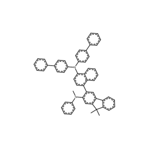 CN(c1ccccc1)c1cc2c(cc1-c1ccc(N(c3ccc(-c4ccccc4)cc3)c3ccc(-c4ccccc4)cc3)c3ccccc13)-c1ccccc1C2(C)C